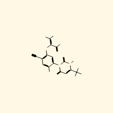 CC(=O)C(Sc1cc(-n2c(=O)cc(C(F)(F)F)n(C)c2=O)c(F)cc1C#N)=C(C)C